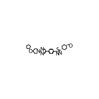 O=C[C@H]1CC[C@H](c2nnc(-c3ccc(-c4cnc(N5CCC(OC6CCCC6)CC5)nc4)cc3)s2)CC1